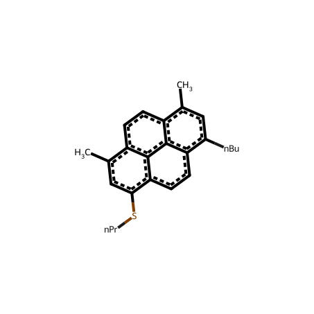 CCCCc1cc(C)c2ccc3c(C)cc(SCCC)c4ccc1c2c34